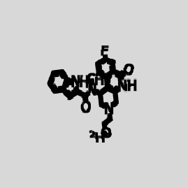 [2H]OCCN1Cc2[nH]c(=O)c3cc(F)ccc3c2C(N(C)C(=O)c2cc3ccccc3[nH]2)C1